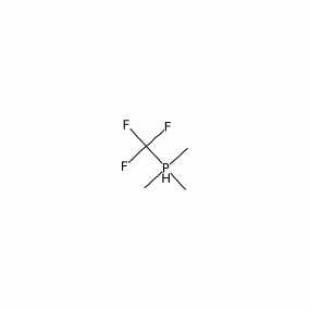 C[PH](C)(C)C(F)(F)F